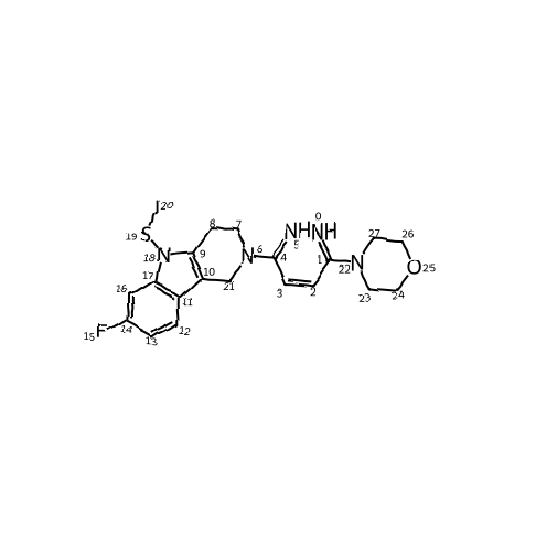 N=C(/C=C\C(=N)N1CCc2c(c3ccc(F)cc3n2SI)C1)N1CCOCC1